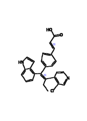 CC/C(=C(/c1ccc(/C=C/C(=O)O)cc1)c1cccc2[nH]ccc12)c1ccncc1Cl